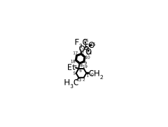 C=C1CC(C)CC(CC)(c2ccc(OS(=O)(=O)C(F)(F)F)cc2)C1